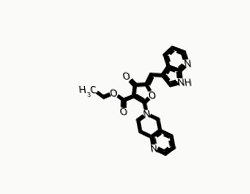 CCOC(=O)C1=C(N2CCc3ncccc3C2)O/C(=C\c2c[nH]c3ncccc23)C1=O